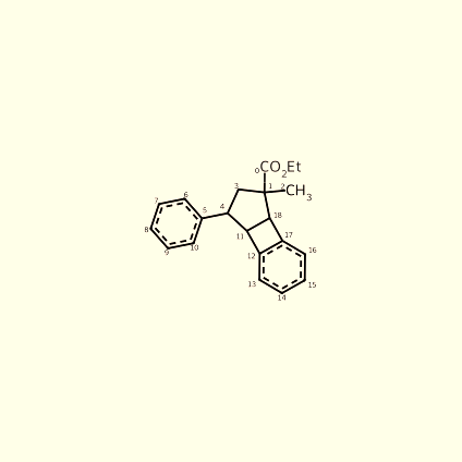 CCOC(=O)C1(C)CC(c2ccccc2)C2c3ccccc3C21